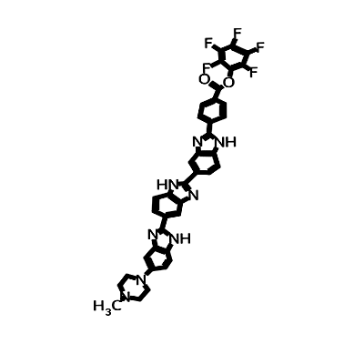 CN1CCN(c2ccc3[nH]c(-c4ccc5[nH]c(-c6ccc7[nH]c(-c8ccc(C(=O)Oc9c(F)c(F)c(F)c(F)c9F)cc8)nc7c6)nc5c4)nc3c2)CC1